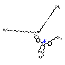 CCCCCCC1=C(c2cccc(CCCC)c2)[N+](=[N-])C(c2ccc(CC)cc2)=C1CCCC.CCCCCCCCCCCCCCC[CH2][Ni][CH2]CCCCCCCCCCCCCCC